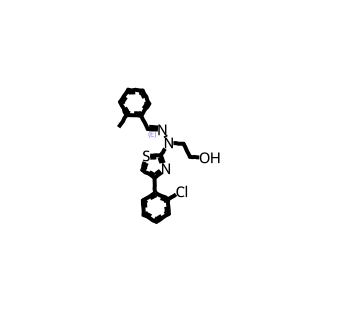 Cc1ccccc1/C=N/N(CCO)c1nc(-c2ccccc2Cl)cs1